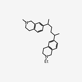 CCN1CCc2cc(C(C)CCC(C)c3ccc4c(c3)CN(C)CC4)ccc2C1